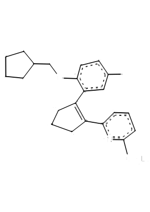 CCOC(=O)c1cccc(C2=C(c3cc(Cl)ccc3OCC3CCCC3)CCC2)n1